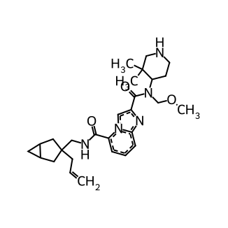 C=CCC1(CNC(=O)c2cccc3nc(C(=O)N(COC)C4CCNCC4(C)C)cn23)CC2CC2C1